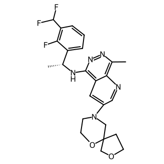 Cc1nnc(N[C@H](C)c2cccc(C(F)F)c2F)c2cc(N3CCOC4(CCOC4)C3)cnc12